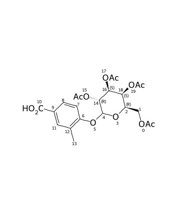 CC(=O)OC[C@H]1OC(Oc2ccc(C(=O)O)cc2C)[C@H](OC(C)=O)[C@@H](OC(C)=O)[C@H]1OC(C)=O